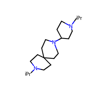 CC(C)N1CCC(N2CCC3(CCN(C(C)C)CC3)CC2)CC1